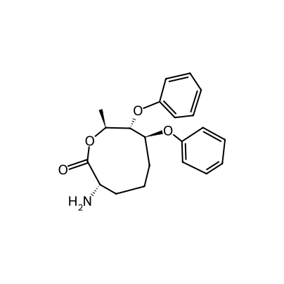 C[C@@H]1OC(=O)[C@@H](N)CCC[C@H](Oc2ccccc2)[C@H]1Oc1ccccc1